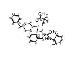 O=C(Nc1c(F)cccc1F)N(CCCN1CCC(Cc2ccccc2)CC1)Cc1ccccc1.O=C(O)C(F)(F)F